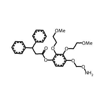 COCCOc1c(OCON)ccc(OC(=O)CC(c2ccccc2)c2ccccc2)c1OCCOC